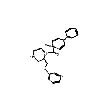 O=C(N1CCNCC1COc1cccnc1)C1(F)C=CC(c2ccccc2)C=C1